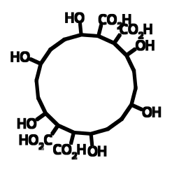 O=C(O)C1C(O)CCC(O)CCC(O)C(C(=O)O)C(C(=O)O)C(O)CCC(O)CCC(O)C1C(=O)O